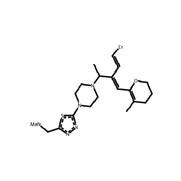 CCC=C/C(=C\C1=C(C)CCCO1)C(C)N1CCN(c2nnc(CNC)s2)CC1